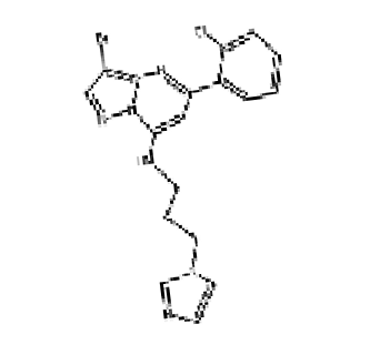 Clc1ccccc1-c1cc(NCCCn2ccnc2)n2ncc(Br)c2n1